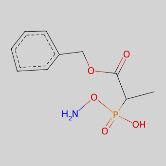 CC(C(=O)OCc1ccccc1)P(=O)(O)ON